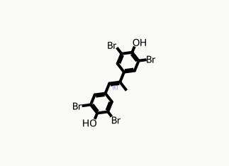 C/C(=C\c1cc(Br)c(O)c(Br)c1)c1cc(Br)c(O)c(Br)c1